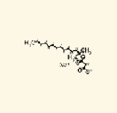 CCCCCCCCCCCCC(C)(C)OC(=O)CC(=O)[O-].[Na+]